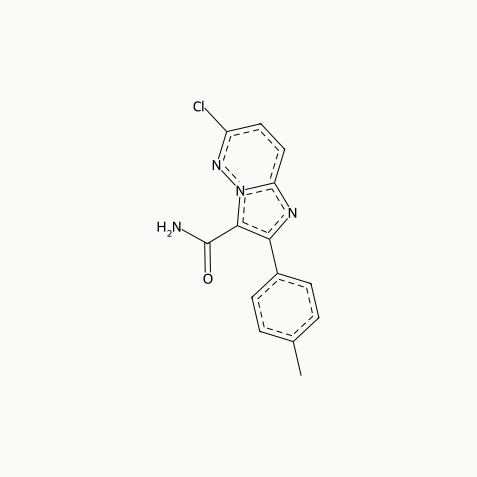 Cc1ccc(-c2nc3ccc(Cl)nn3c2C(N)=O)cc1